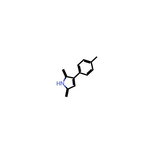 C=c1cc(-c2ccc(C)cc2)c(=C)[nH]1